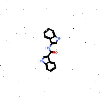 O=C(Nc1c[nH]c2ccccc12)c1c[nH]c2ccccc12